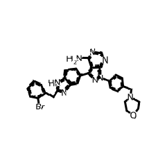 Nc1ncnc2c1c(-c1ccc3[nH]c(Cc4ccccc4Br)nc3c1)nn2-c1ccc(CN2CCOCC2)cc1